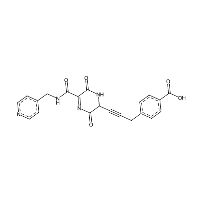 O=C(NCc1ccncc1)C1=NC(=O)C(C#CCc2ccc(C(=O)O)cc2)NC1=O